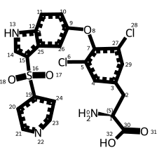 N[C@@H](Cc1cc(Cl)c(Oc2ccc3[nH]cc(S(=O)(=O)c4ccncc4)c3c2)c(Cl)c1)C(=O)O